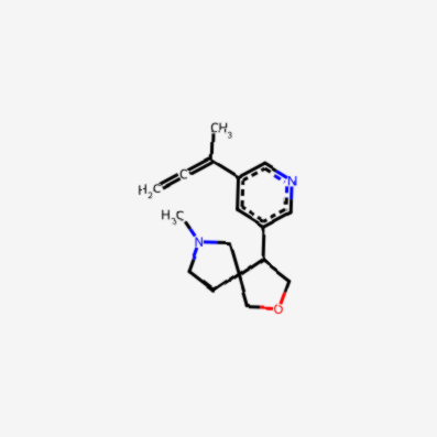 C=C=C(C)c1cncc(C2COCC23CCN(C)C3)c1